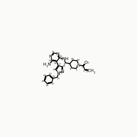 C=CC(=O)N1CCC(CNc2ncnc(N)c2-c2cnn(Cc3ccccc3)c2)CC1